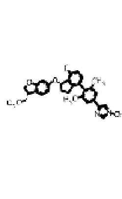 Cc1cc(-c2cn(C)cn2)cc(C)c1-c1ccc(F)c2c1CC[C@H]2Oc1ccc2c(c1)OC[C@H]2CC(=O)O